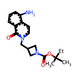 CCC(C)(C)OC(=O)N1CC(Cn2ccc3c(N)cccc3c2=O)C1